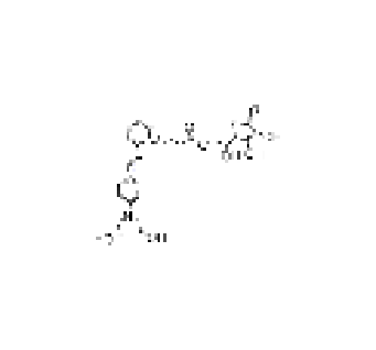 O=C(CCC[n+]1ccccc1/C=C/c1ccc(N(CCO)CCO)cc1)OCC(O)C1OC(=O)C(O)=C1O